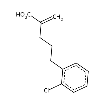 C=C(CCCc1ccccc1Cl)C(=O)O